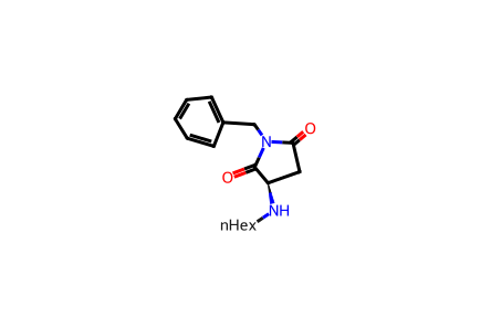 CCCCCCN[C@@H]1CC(=O)N(Cc2ccccc2)C1=O